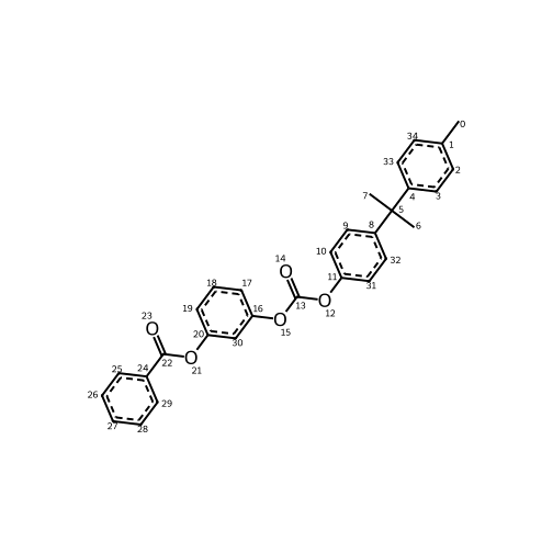 Cc1ccc(C(C)(C)c2ccc(OC(=O)Oc3cccc(OC(=O)c4ccccc4)c3)cc2)cc1